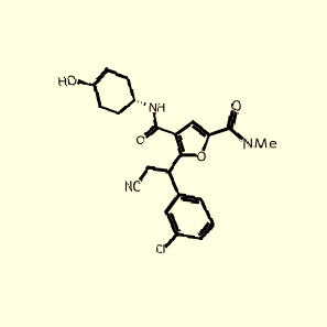 CNC(=O)c1cc(C(=O)N[C@H]2CC[C@H](O)CC2)c(C(CC#N)c2cccc(Cl)c2)o1